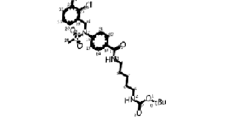 CC(C)(C)OC(=O)NCCCCCNC(=O)c1ccc(N(Cc2cccc(Cl)c2Cl)S(C)(=O)=O)cc1